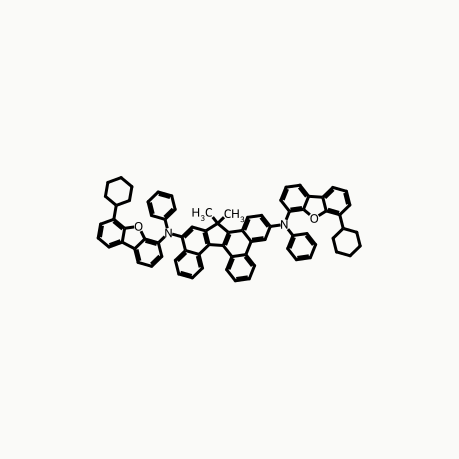 CC1(C)c2cc(N(c3ccccc3)c3cccc4c3oc3c(C5CCCCC5)cccc34)c3ccccc3c2-c2c1c1ccc(N(c3ccccc3)c3cccc4c3oc3c(C5CCCCC5)cccc34)cc1c1ccccc21